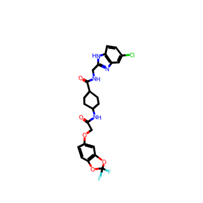 O=C(COc1ccc2c(c1)OC(F)(F)O2)NC1CCC(C(=O)NCc2nc3cc(Cl)ccc3[nH]2)CC1